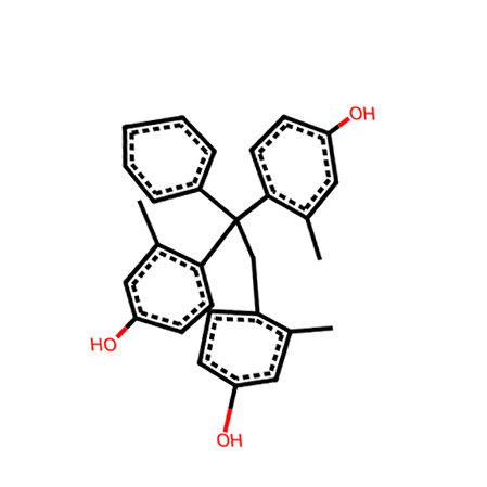 Cc1cc(O)ccc1CC(c1ccccc1)(c1ccc(O)cc1C)c1ccc(O)cc1C